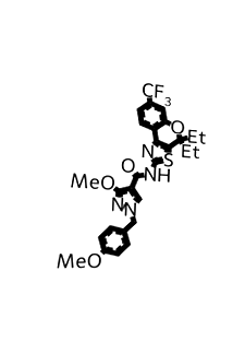 CCC1(CC)Oc2cc(C(F)(F)F)ccc2-c2nc(NC(=O)c3cn(Cc4ccc(OC)cc4)nc3OC)sc21